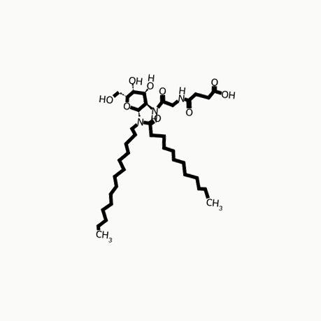 CCCCCCCCCCCCCCN(C(=O)CCCCCCCCCCC)[C@@H]1O[C@H](CO)[C@H](O)[C@H](O)[C@H]1NC(=O)CNC(=O)CCC(=O)O